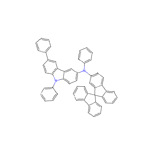 c1ccc(-c2ccc3c(c2)c2cc(N(c4ccccc4)c4ccc5c(c4)C4(c6ccccc6-c6ccccc64)c4ccccc4-5)ccc2n3-c2ccccc2)cc1